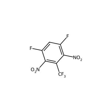 O=[N+]([O-])c1c(F)cc(F)c([N+](=O)[O-])c1C(F)(F)F